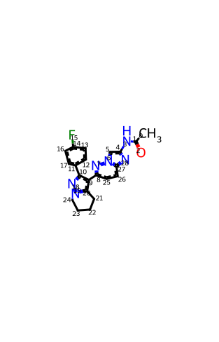 CC(=O)Nc1cn2nc(-c3c(-c4ccc(F)cc4)nn4c3CCCC4)ccc2n1